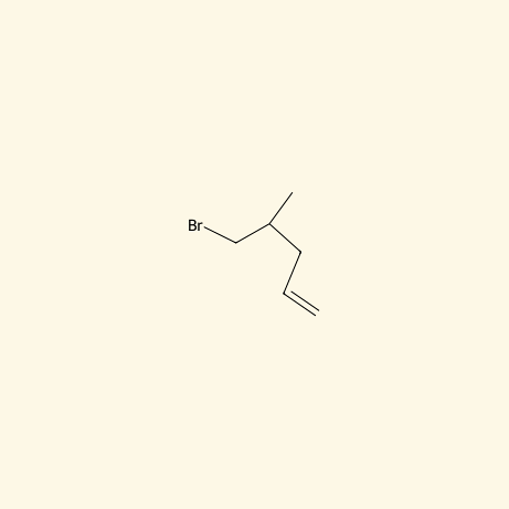 C=CCC(C)CBr